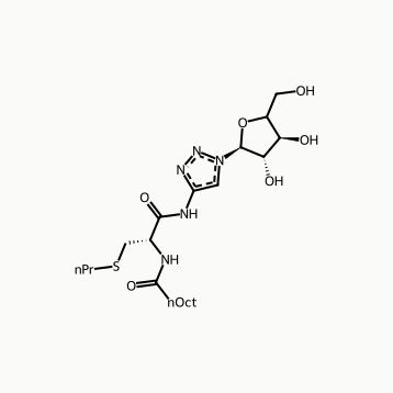 [CH2][CH]CSC[C@@H](NC(=O)CCCCCCCC)C(=O)Nc1cn([C@H]2OC(CO)[C@@H](O)[C@@H]2O)nn1